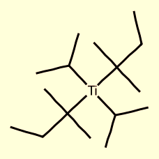 CC[C](C)(C)[Ti]([CH](C)C)([CH](C)C)[C](C)(C)CC